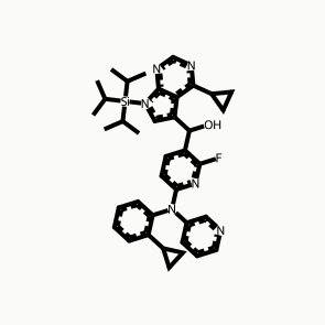 CC(C)[Si](C(C)C)(C(C)C)n1cc(C(O)c2ccc(N(c3cccnc3)c3ccccc3C3CC3)nc2F)c2c(C3CC3)ncnc21